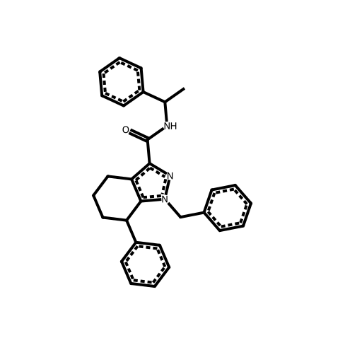 CC(NC(=O)c1nn(Cc2ccccc2)c2c1CCCC2c1ccccc1)c1ccccc1